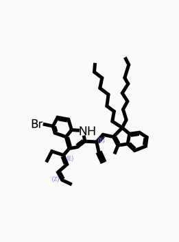 C#C/C(=C\C1=C(C)c2ccccc2C1(CCCCCCCC)CCCCCCCC)C1=CC(/C(=C/C=C\C)CC)=C2C=C(Br)C=CC2N1